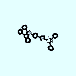 c1ccc(-c2nc(-c3ccccc3)nc(-c3ccc(-c4ccc(-n5nc(-c6ccccc6)c6c(-c7ccccc7)cc7ccccc7c65)cc4)cc3)n2)cc1